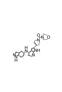 O=C(N1CC=C(c2cc3c(Nc4ccc5[nH]ncc5c4)ccnc3[nH]2)CC1)N1CCOCC1